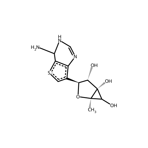 C[C@]12O[C@@H](c3csc4c3N=CNC4N)[C@H](O)[C@@]1(O)C2O